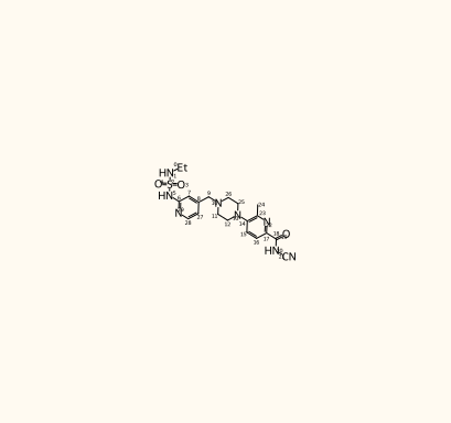 CCNS(=O)(=O)Nc1cc(CN2CCN(c3ccc(C(=O)NC#N)nc3C)CC2)ccn1